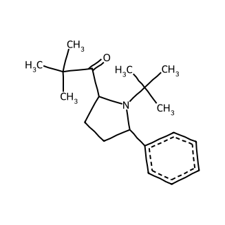 CC(C)(C)C(=O)C1CCC(c2ccccc2)N1C(C)(C)C